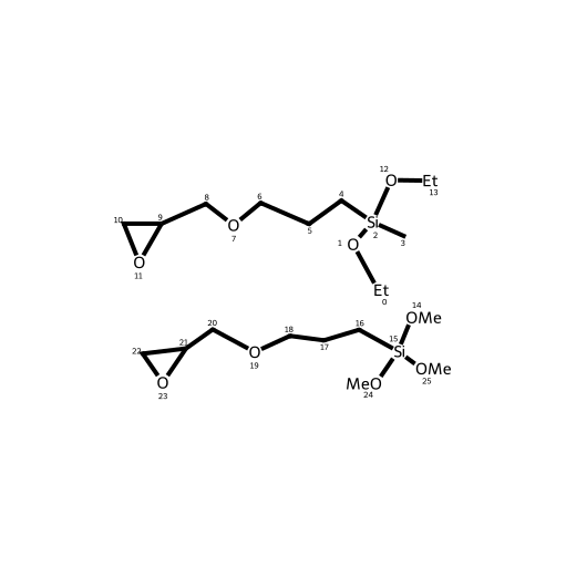 CCO[Si](C)(CCCOCC1CO1)OCC.CO[Si](CCCOCC1CO1)(OC)OC